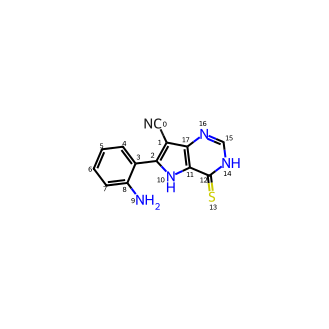 N#Cc1c(-c2ccccc2N)[nH]c2c(=S)[nH]cnc12